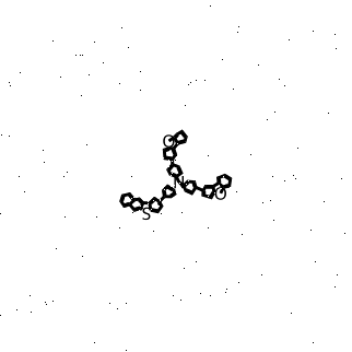 c1ccc2cc3c(cc2c1)sc1ccc(-c2ccc(N(c4ccc(-c5ccc6oc7ccccc7c6c5)cc4)c4ccc(-c5ccc6oc7ccccc7c6c5)cc4)cc2)cc13